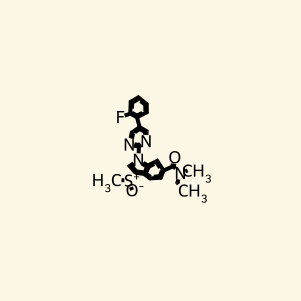 CCN(C)C(=O)c1ccc2c([S+](C)[O-])cn(-c3ncc(-c4ccccc4F)cn3)c2c1